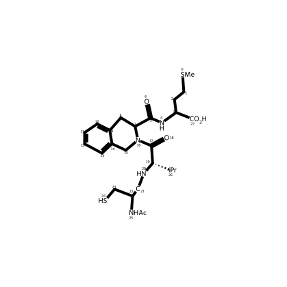 CSCCC(NC(=O)C1Cc2ccccc2CN1C(=O)[C@@H](NCC(CS)NC(C)=O)C(C)C)C(=O)O